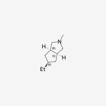 CC[C@@H]1C[C@@H]2CN(C)C[C@@H]2C1